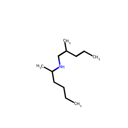 CCCCC(C)NCC(C)CCC